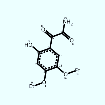 CCOc1cc(O)c(C(=O)C(N)=O)cc1OCC